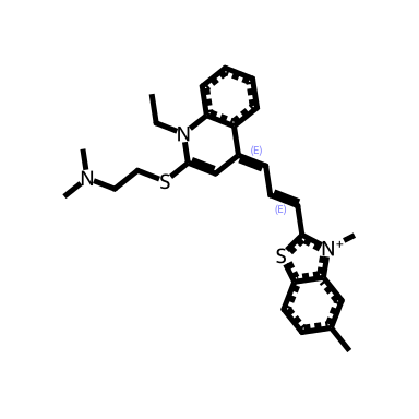 CCN1C(SCCN(C)C)=C/C(=C\C=C\c2sc3ccc(C)cc3[n+]2C)c2ccccc21